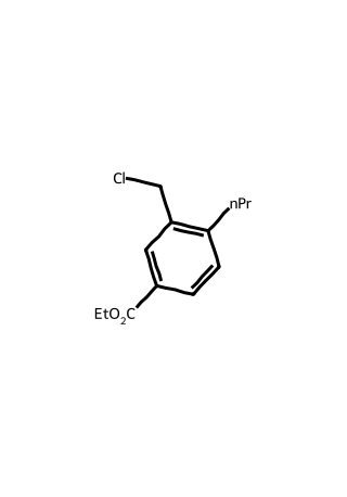 CCCc1ccc(C(=O)OCC)cc1CCl